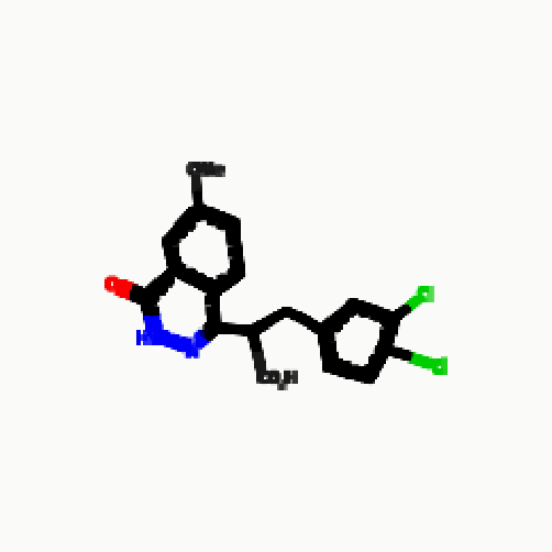 COc1ccc2c(C(Cc3ccc(Cl)c(Cl)c3)C(=O)O)n[nH]c(=O)c2c1